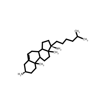 CC(C)CCCC[C@@]1(N)CCC2C3CC=C4C[C@H](N)CCC4(C)C3CCC21C